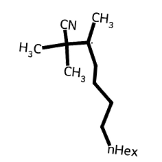 CCCCCCCCCC[C](C)C(C)(C)C#N